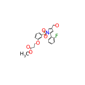 COC(=O)CCOc1cccc(S(=O)(=O)n2cc(C=O)cc2-c2ccccc2F)c1